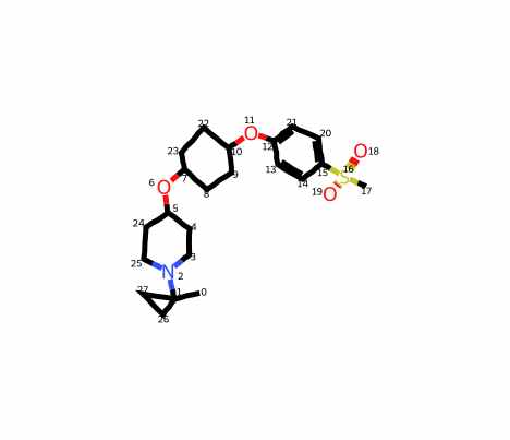 CC1(N2CCC(OC3CCC(Oc4ccc(S(C)(=O)=O)cc4)CC3)CC2)CC1